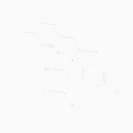 C/C(=C/c1ccc(F)cc1)C(O)(c1ccc(C(C)(C)C)cc1)C(C)CN(C)C